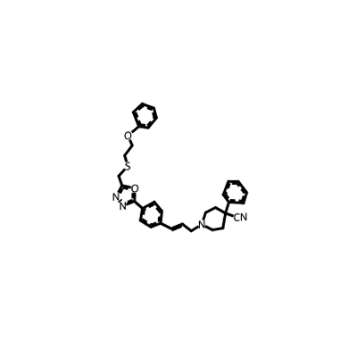 N#CC1(c2ccccc2)CCN(CC=Cc2ccc(-c3nnc(CSCCOc4ccccc4)o3)cc2)CC1